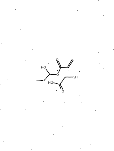 C=CC(=O)OC(O)CC.O=C(O)CS